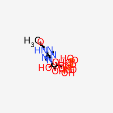 COCCNc1ncnc2c1ncn2C1OC(COP(=O)(O)OP(=O)(O)OP(=O)(O)O)C(O)C1O